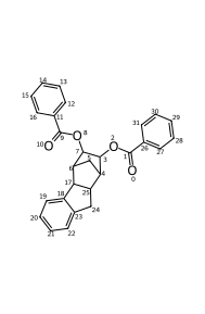 O=C(OC1C2CC(C1OC(=O)c1ccccc1)C1c3ccccc3CC21)c1ccccc1